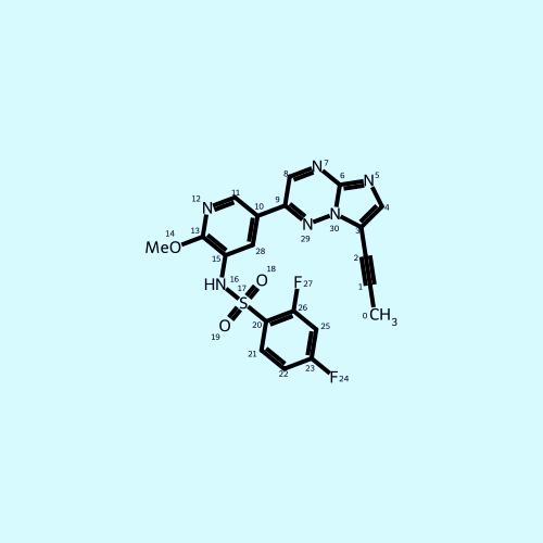 CC#Cc1cnc2ncc(-c3cnc(OC)c(NS(=O)(=O)c4ccc(F)cc4F)c3)nn12